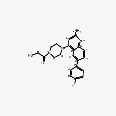 Nc1nc(N2CCN(C(=O)CO)CC2)c2nc(-c3ccc(F)cc3)ccc2n1